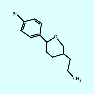 CCCC1CCC(c2ccc(Br)cc2)OC1